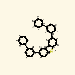 c1ccc(-c2cccc(-c3ccc4sc5ccc(-c6cccc(-c7ccccc7)c6)cc5c4c3)c2)cc1